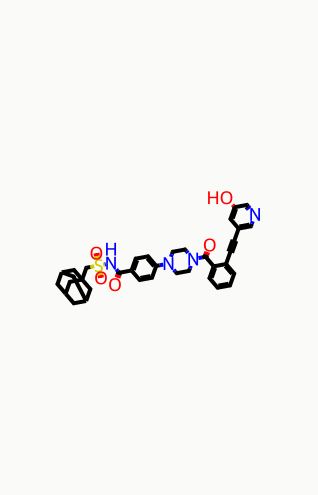 O=C(NS(=O)(=O)CC12CC3CC(CC(C3)C1)C2)c1ccc(N2CCN(C(=O)c3ccccc3C#Cc3cncc(O)c3)CC2)cc1